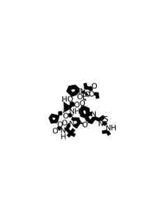 C=C[C@@H]1C[C@]1(NC(=O)[C@@H]1C[C@@H](Oc2cc(-c3csc(NC(C)C)n3)nc3cc(OCP(=O)(NC(C)C(=O)OCC)Oc4ccccc4)ccc23)CN1C(=O)[C@@H](NC(=O)OC1CCCC1)C(C)(C)C)C(=O)O